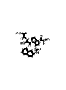 CNC(C)C(=O)NC(C(=O)N1CCC2C1C(OC(=O)Nc1ccc3ccccc3c1)CN2C(=O)NC(C)C)C(C)(C)C